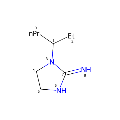 CCCC(CC)N1CCNC1=N